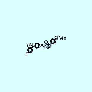 COc1ccc(N2CCN(CCN3CCC(c4noc5cc(F)ccc45)CC3)C2=O)cc1